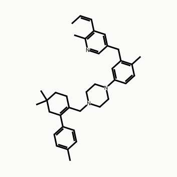 C/C=C\c1cc(Cc2cc(N3CCN(CC4=C(c5ccc(C)cc5)CC(C)(C)CC4)CC3)ccc2C)cnc1C